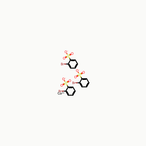 O=S(=O)([O-])c1ccccc1Br.O=S(=O)([O-])c1ccccc1Br.O=S(=O)([O-])c1ccccc1Br.[Ga+3]